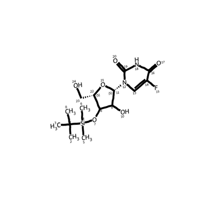 CC(C)(C)[Si](C)(C)OC1C(O)[C@@H](n2cc(F)c(=O)[nH]c2=O)O[C@H]1CO